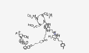 C/C(=N\CCCC[C@H](NC(=O)CN1CCN(CC(=O)O)CCN(CC(=O)O)CCN(CC(=O)O)CC1)C(=O)NCCCCCC(=O)N1CCC(CCCOc2ccc3nccc(C(=O)NCC(=O)N4CC(F)(F)C[C@@H]4C#N)c3c2)CC1)NC(=O)CCCc1ccc(I)cc1